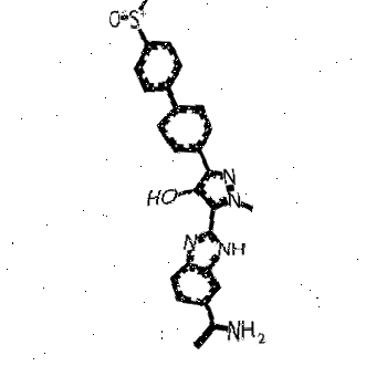 C=C(N)c1ccc2nc(-c3c(O)c(-c4ccc(-c5ccc([S+](C)[O-])cc5)cc4)nn3C)[nH]c2c1